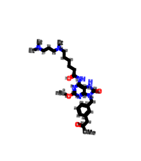 CCCCOc1nc(NC(=O)CCCCCN(CC)CCCN(CC)CC)c2[nH]c(=O)n(Cc3cccc(CC(=O)OC)c3)c2n1